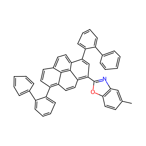 Cc1ccc2oc(-c3cc(-c4ccccc4-c4ccccc4)c4ccc5ccc(-c6ccccc6-c6ccccc6)c6ccc3c4c56)nc2c1